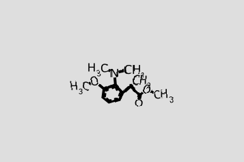 C=C(C(=O)OC)c1cccc(OC)c1N(C)C